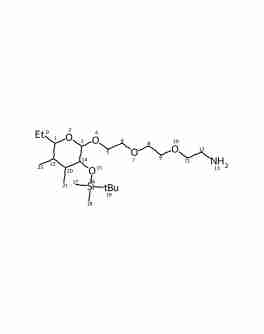 CCC1OC(OCCOCCOCCN)C(O[Si](C)(C)C(C)(C)C)C(C)C1C